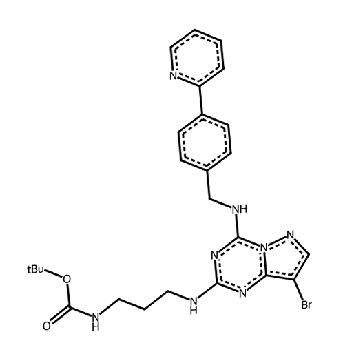 CC(C)(C)OC(=O)NCCCNc1nc(NCc2ccc(-c3ccccn3)cc2)n2ncc(Br)c2n1